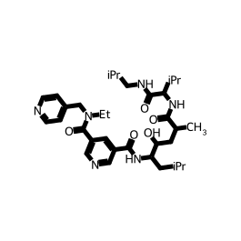 CCN(Cc1ccncc1)C(=O)c1cncc(C(=O)NC(CC(C)C)C(O)CC(C)C(=O)NC(C(=O)NCC(C)C)C(C)C)c1